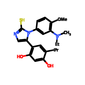 CCN(C)c1cc(-n2c(-c3cc(C(C)C)c(O)cc3O)cnc2S)ccc1OC